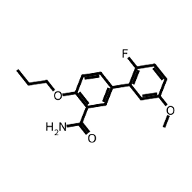 CCCOc1ccc(-c2cc(OC)ccc2F)cc1C(N)=O